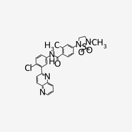 Cc1cc(N2CCN(C)S2(=O)=O)ccc1C(=O)Nc1ccc(Cl)c(-c2ccc3ncccc3n2)c1